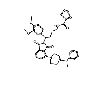 COc1ccc([C@@H](CCCNC(=O)c2ccno2)N2C(=O)c3cccc(N4CCN([C@H](C)c5ccccc5)CC4)c3C2=O)cc1OC